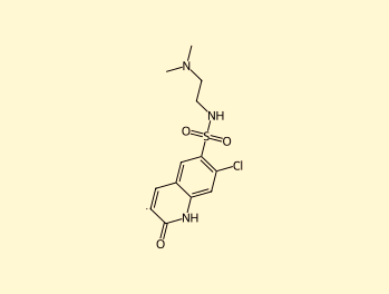 CN(C)CCNS(=O)(=O)c1cc2c[c]c(=O)[nH]c2cc1Cl